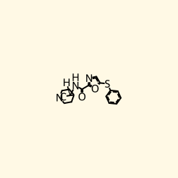 O=C(N[C@H]1CN2CCC1CC2)c1ncc(Sc2ccccc2)o1